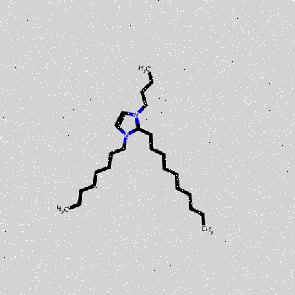 CCCCCCCCCCC1N(CCCC)C=CN1CCCCCCCC